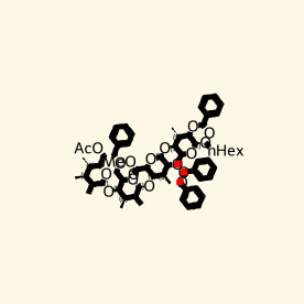 CCCCCCO[C@@H]1OC(COCc2ccccc2)[C@@H](O[C@@H]2OC(C(=O)OC)[C@@H](O[C@H]3OC(COCc4ccccc4)[C@H](O[C@H]4OC(COC(C)=O)[C@@H](C)[C@H](C)C4C)[C@H](C)C3C)[C@H](C)C2OC(=O)c2ccccc2)[C@H](C)C1OC(=O)c1ccccc1